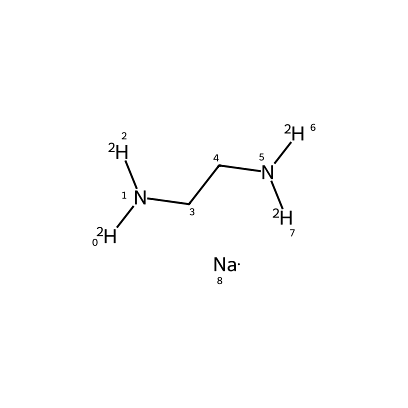 [2H]N([2H])CCN([2H])[2H].[Na]